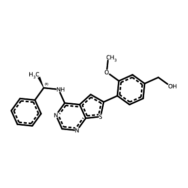 COc1cc(CO)ccc1-c1cc2c(N[C@H](C)c3ccccc3)ncnc2s1